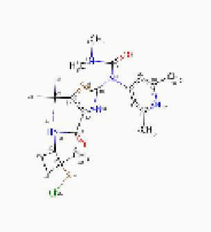 Cc1cc(N(C(=O)N(C)C)c2nc(C(=O)NC3CCC3(C)SCl)c(C(I)(I)I)s2)cc(C)n1